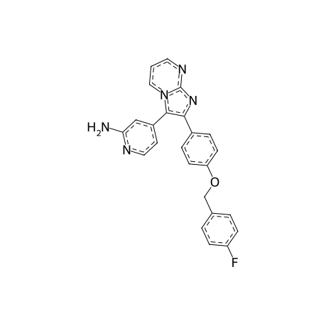 Nc1cc(-c2c(-c3ccc(OCc4ccc(F)cc4)cc3)nc3ncccn23)ccn1